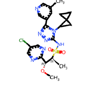 CO[C@H](c1ncc(Cl)cn1)[C@H](C)S(=O)(=O)Nc1nnc(-c2cncc(C)c2)n1C1CC12CC2